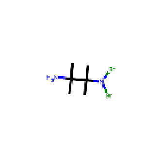 CC(C)(N)C(C)(C)N(Br)Br